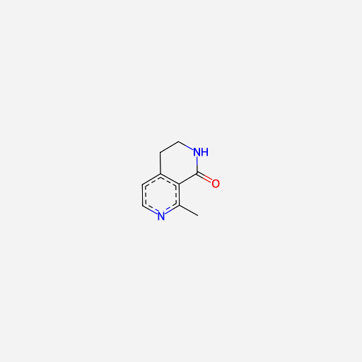 Cc1nccc2c1C(=O)NCC2